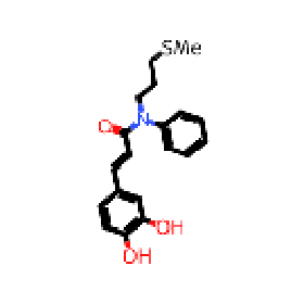 CSCCCN(C(=O)/C=C/c1ccc(O)c(O)c1)c1ccccc1